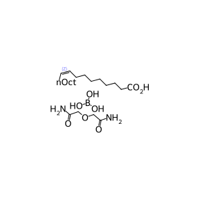 CCCCCCCC/C=C\CCCCCCCC(=O)O.NC(=O)COCC(N)=O.OB(O)O